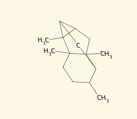 CC1CCC2(C)C3(C)CC4C(CC13)C42C